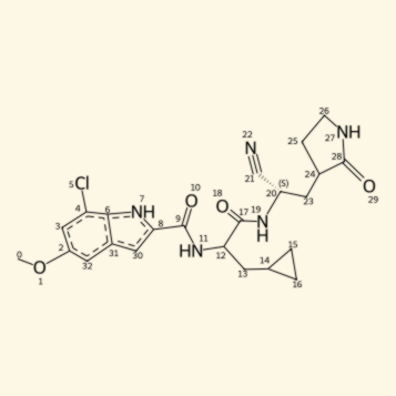 COc1cc(Cl)c2[nH]c(C(=O)NC(CC3CC3)C(=O)N[C@H](C#N)CC3CCNC3=O)cc2c1